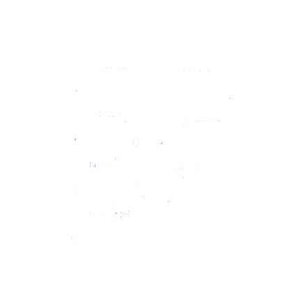 O=C1CN(Cc2ccccc2)C(=O)[C@H](Cc2ccc3ccccc3c2)N1